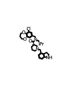 CC(C)CN(Cc1cc(Cl)c2c(c1)OCCCO2)C(=O)[C@@H]1CCCN(Cc2cccc3c2CCN3)C1